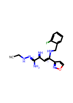 N#CCN/N=C(\N)C(=N)/C=C(\NCc1ccccc1F)c1ccon1